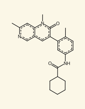 Cc1cc2c(cn1)cc(-c1cc(NC(=O)C3CCCCC3)ccc1C)c(=O)n2C